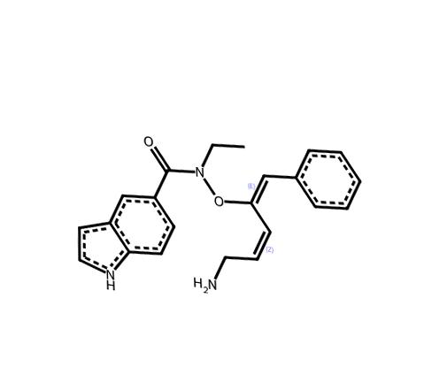 CCN(OC(/C=C\CN)=C/c1ccccc1)C(=O)c1ccc2[nH]ccc2c1